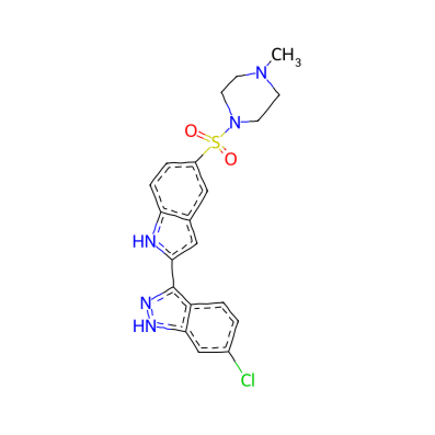 CN1CCN(S(=O)(=O)c2ccc3[nH]c(-c4n[nH]c5cc(Cl)ccc45)cc3c2)CC1